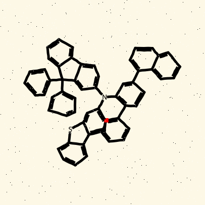 c1ccc(-c2ccc(-c3cccc4ccccc34)cc2N(c2ccc3c(c2)C(c2ccccc2)(c2ccccc2)c2ccccc2-3)c2ccc3c(c2)sc2ccccc23)cc1